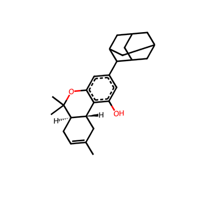 CC1=CC[C@@H]2[C@@H](C1)c1c(O)cc(C3C4CC5CC(C4)CC3C5)cc1OC2(C)C